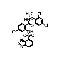 C[C@@H](NC(=O)c1ccc(Cl)cc1NS(=O)(=O)c1cccc2nsnc12)c1ccc(Cl)cc1Cl